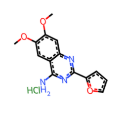 COc1cc2nc(-c3ccco3)nc(N)c2cc1OC.Cl